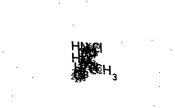 CN(C)Cc1c(-c2ccc(Cl)c3c2C(=O)NC3)[nH]c2ccc(CN3CCCCC3)cc12